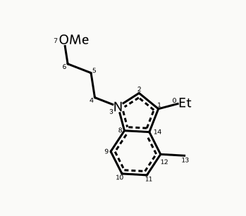 CCc1cn(CCCOC)c2cccc(C)c12